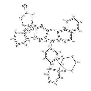 CCC1CC2CCCC(C1)C21c2ccccc2-c2cc(N(c3ccc4c(c3)C3(CCCCC3)c3ccccc3-4)c3ccc4ccccc4c3)ccc21